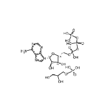 Nc1ncnc2c1ncn2[C@@H]1O[C@H](COP(=O)(O)OP(=O)(O)OP(=O)(O)O)[C@@H](O)[C@H]1O.O=P(O)(O)OCC(O)CO